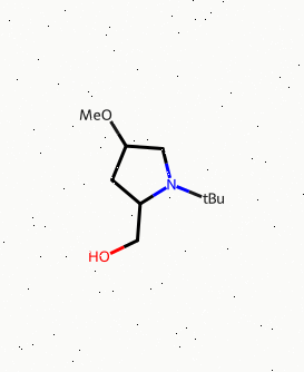 COC1CC(CO)N(C(C)(C)C)C1